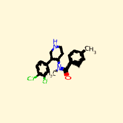 Cc1ccc(C(=O)N(C)C2CCNCC2c2ccc(Cl)c(Cl)c2)cc1